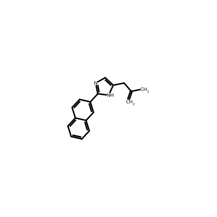 C=C(C)Cc1cnc(-c2ccc3ccccc3c2)[nH]1